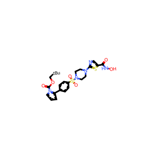 CC(C)(C)COC(=O)n1cccc1-c1ccc(S(=O)(=O)N2CCN(c3ncc(C(=O)NO)s3)CC2)cc1